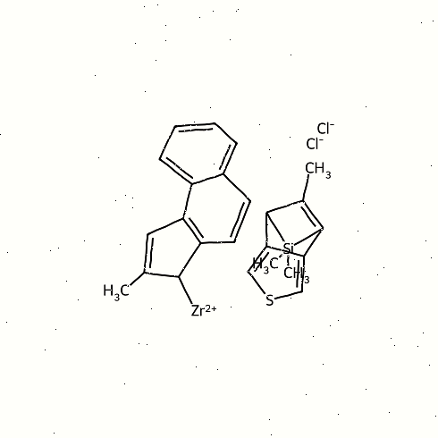 CC1=C2c3cscc3C1[Si]2(C)C.CC1=Cc2c(ccc3ccccc23)[CH]1[Zr+2].[Cl-].[Cl-]